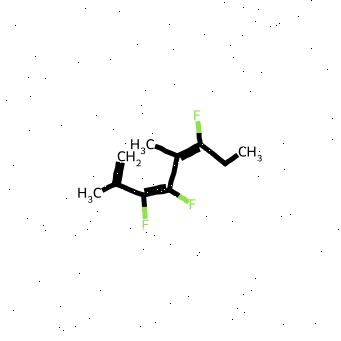 C=C(C)/C(F)=C(F)\C(C)=C(\F)CC